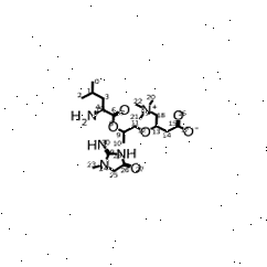 CC(C)C[C@H](N)C(=O)OC(C)COC(CC(=O)[O-])C[N+](C)(C)C.CN1CC(=O)NC1=N